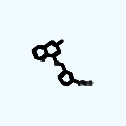 CCCC[CH]c1cccc(COc2cc(C)cc3cccnc23)c1